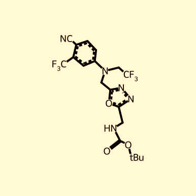 CC(C)(C)OC(=O)NCc1nnc(CN(CC(F)(F)F)c2ccc(C#N)c(C(F)(F)F)c2)o1